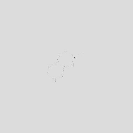 [O-][n+]1ccc2ccncc2n1